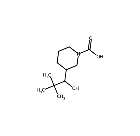 CC(C)(C)C(O)C1CCCN(C(=O)O)C1